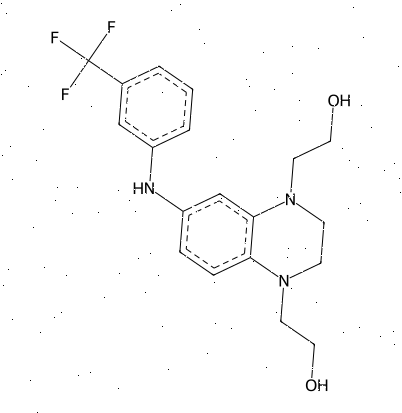 OCCN1CCN(CCO)c2cc(Nc3cccc(C(F)(F)F)c3)ccc21